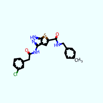 Cc1ccc(CNC(=O)c2cc3c(NC(=O)Cc4cccc(Cl)c4)n[nH]c3s2)cc1